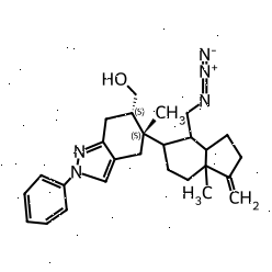 C=C1CCC2C(CN=[N+]=[N-])C([C@]3(C)Cc4cn(-c5ccccc5)nc4C[C@@H]3CO)CCC12C